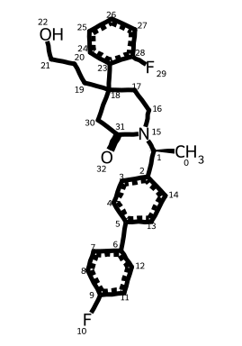 C[C@@H](c1ccc(-c2ccc(F)cc2)cc1)N1CCC(CCCO)(c2ccccc2F)CC1=O